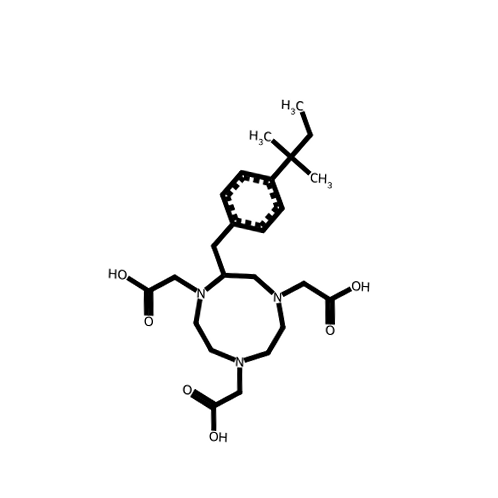 CCC(C)(C)c1ccc(CC2CN(CC(=O)O)CCN(CC(=O)O)CCN2CC(=O)O)cc1